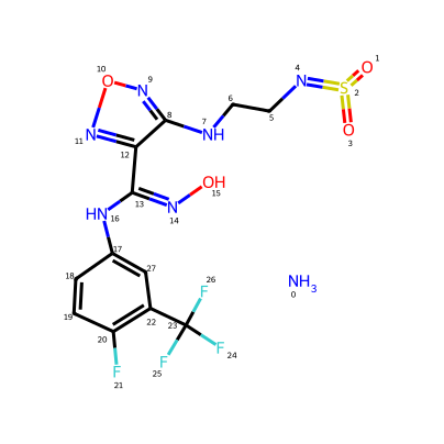 N.O=S(=O)=NCCNc1nonc1C(=NO)Nc1ccc(F)c(C(F)(F)F)c1